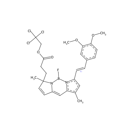 COc1ccc(/C=C/c2cc(C)c3n2B(F)N2C(=C3)C=CC2(C)CCC(=O)OCC(Cl)(Cl)Cl)cc1OC